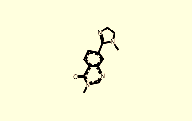 CN1CCN=C1c1ccc2c(=O)n(C)cnc2c1